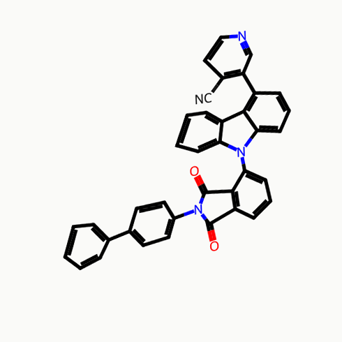 N#Cc1ccncc1-c1cccc2c1c1ccccc1n2-c1cccc2c1C(=O)N(c1ccc(-c3ccccc3)cc1)C2=O